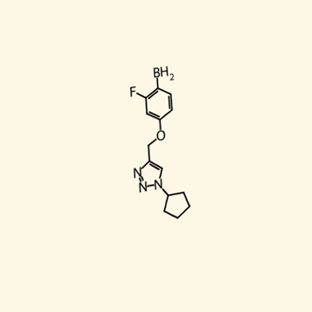 Bc1ccc(OCc2cn(C3CCCC3)nn2)cc1F